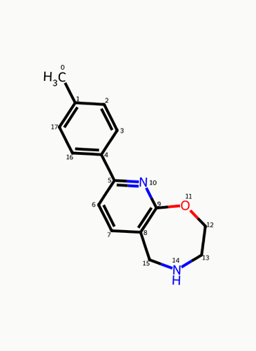 Cc1ccc(-c2ccc3c(n2)OCCNC3)cc1